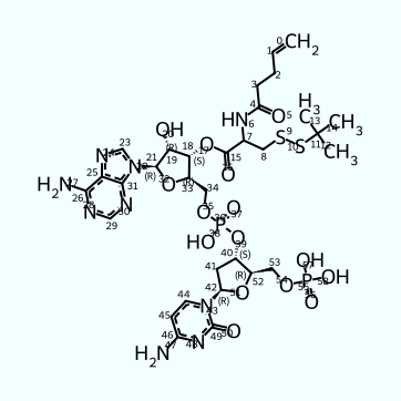 C=CCCC(=O)NC(CSSC(C)(C)C)C(=O)O[C@H]1[C@@H](O)[C@H](n2cnc3c(N)ncnc32)O[C@@H]1COP(=O)(O)O[C@H]1C[C@H](n2ccc(N)nc2=O)O[C@@H]1COP(=O)(O)O